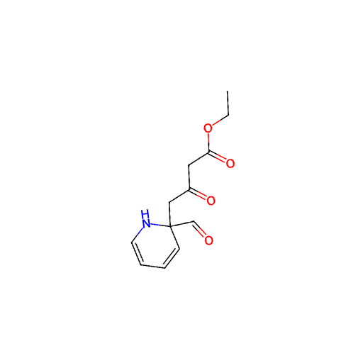 CCOC(=O)CC(=O)CC1(C=O)C=CC=CN1